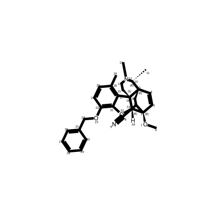 CO[C@]12C=C[C@@]3(CC1C#N)[C@@H](C)N(C)CC[C@@]31c3c(C)ccc(OCc4ccccc4)c3O[C@H]12